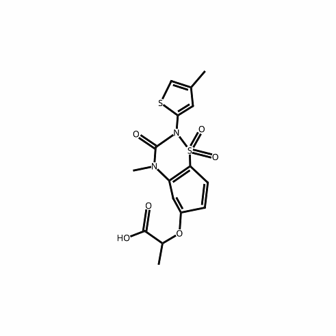 Cc1csc(N2C(=O)N(C)c3cc(OC(C)C(=O)O)ccc3S2(=O)=O)c1